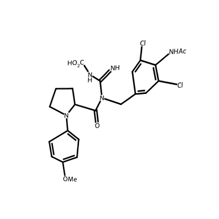 COc1ccc(N2CCCC2C(=O)N(Cc2cc(Cl)c(NC(C)=O)c(Cl)c2)C(=N)NC(=O)O)cc1